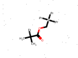 CCC(C)(C)C(=O)OC[Si](C(C)C)(C(C)C)C(C)C